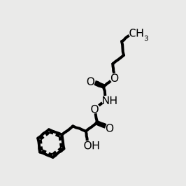 CCCCOC(=O)NOC(=O)C(O)Cc1ccccc1